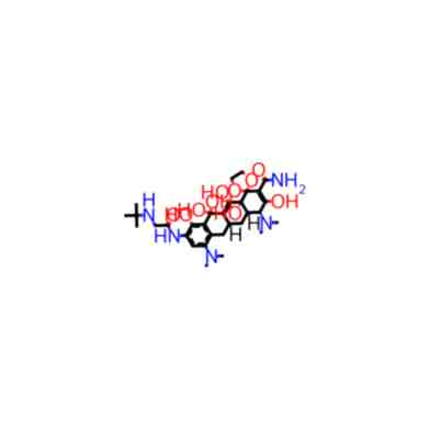 CN(C)c1cc(NC(=O)CNC(C)(C)C)c(O)c2c1C[C@H]1C[C@H]3[C@H](N(C)C)C(O)=C(C(N)=O)C4(OCCO4)[C@@]3(O)C(O)=C1C2(O)O